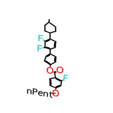 CCCCCOc1ccc(C(=O)Oc2ccc(-c3ccc(C4CCC(C)CC4)c(F)c3F)cc2)c(F)c1